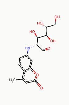 Cc1cc(=O)oc2cc(N[C@@H](C=O)[C@@H](O)[C@H](O)[C@H](O)CO)ccc12